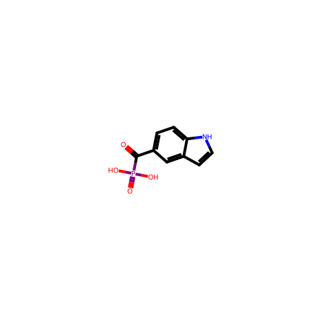 O=C(c1ccc2[nH]ccc2c1)P(=O)(O)O